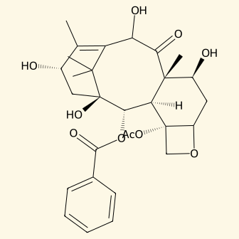 CC(=O)O[C@@]12COC1C[C@H](O)[C@@]1(C)C(=O)C(O)C3=C(C)[C@@H](O)C[C@@](O)([C@@H](OC(=O)c4ccccc4)[C@@H]12)C3(C)C